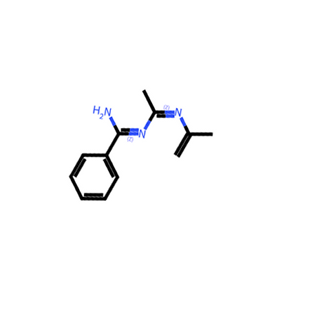 C=C(C)/N=C(C)\N=C(/N)c1ccccc1